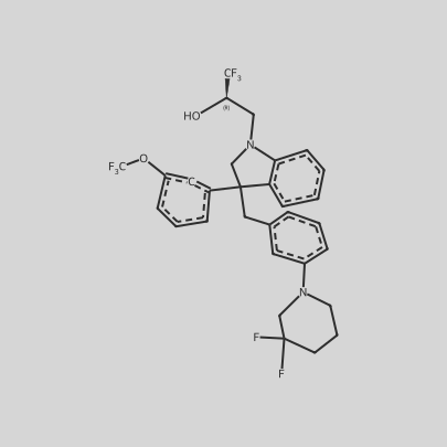 O[C@H](CN1CC(Cc2cccc(N3CCCC(F)(F)C3)c2)(c2cccc(OC(F)(F)F)c2)c2ccccc21)C(F)(F)F